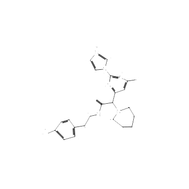 Cc1cc(C(C(=O)NCCc2ccc(Br)cc2)N2CCCCC2)nc(-n2ccnc2)n1